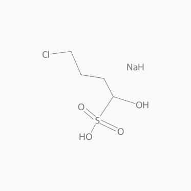 O=S(=O)(O)C(O)CCCCl.[NaH]